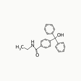 CCNC(=O)c1ccc(C(O)(c2ccccc2)c2ccccc2)cc1